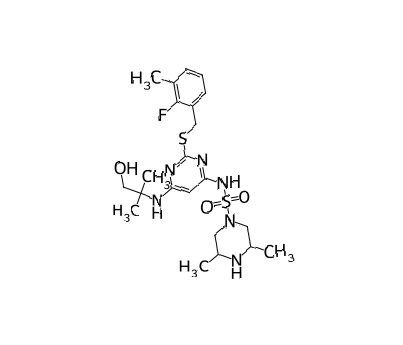 Cc1cccc(CSc2nc(NC(C)(C)CO)cc(NS(=O)(=O)N3CC(C)NC(C)C3)n2)c1F